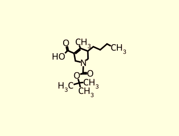 CCCCC1CN(C(=O)OC(C)(C)C)CC(C(=O)O)=C1C